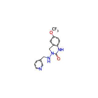 O=C1Nc2ccc(OC(F)(F)F)cc2CN1NCc1cccnc1